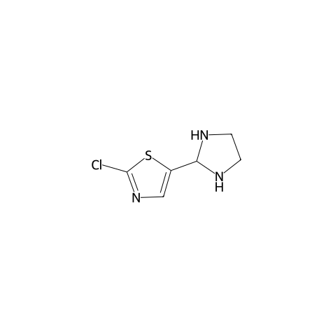 Clc1ncc(C2NCCN2)s1